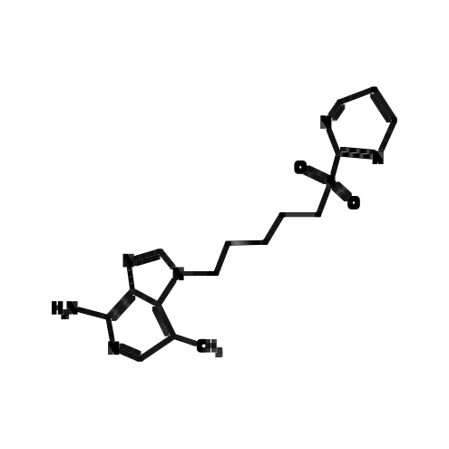 Cc1cnc(N)c2ncn(CCCCCS(=O)(=O)c3ncccn3)c12